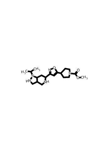 COC(=O)N1CCC(c2cc(C3CC4C(CN3)CNN4C(C)C)no2)CC1